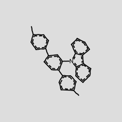 Cc1ccc(-c2ccc(-c3ccc(C)cc3)c(-n3c4ccccc4c4ccccc43)c2)cc1